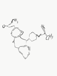 CC(=S)N1CCC(=C2c3ccc(C(N)=O)cc3CCc3cccnc32)CC1